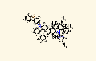 Bc1c(B)c(C)c2c(c1B)c1c(B)c(-c3ccc4c(c3)c3c(-c5ccccc5)cccc3n4-c3ccc4sc5ccccc5c4c3)c(C)c(B)c1n2C(=C/C)/C(=C\CC#C)c1ccccc1